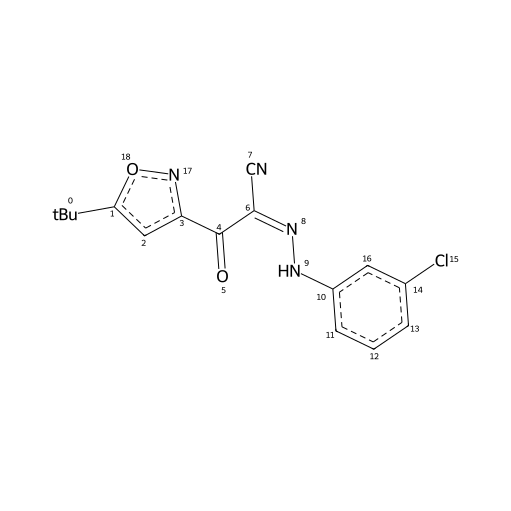 CC(C)(C)c1cc(C(=O)C(C#N)=NNc2cccc(Cl)c2)no1